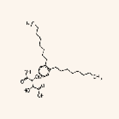 CCCCCCCCc1ccccc1CCCCCCCC.O=C(O)C(O)C(O)C(=O)O